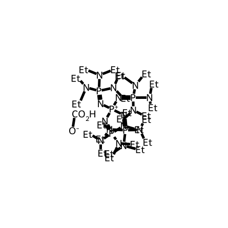 CCN(CC)P(=N[P+](N=P(N(CC)CC)(N(CC)CC)N(CC)CC)(N=P(N(CC)CC)(N(CC)CC)N(CC)CC)N=P(N(CC)CC)(N(CC)CC)N(CC)CC)(N(CC)CC)N(CC)CC.O=C([O-])O